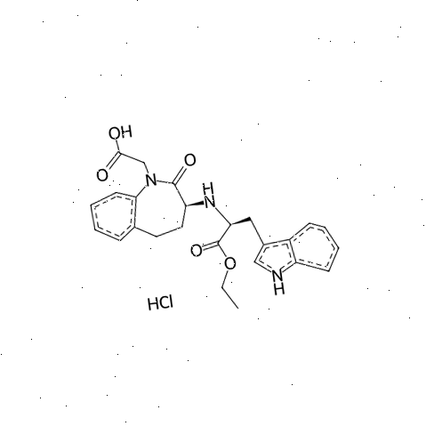 CCOC(=O)[C@H](Cc1c[nH]c2ccccc12)N[C@H]1CCc2ccccc2N(CC(=O)O)C1=O.Cl